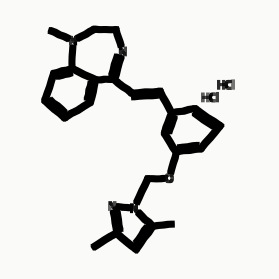 Cc1cc(C)n(COc2cccc(C=CC3=NCCN(C)c4ccccc43)c2)n1.Cl.Cl